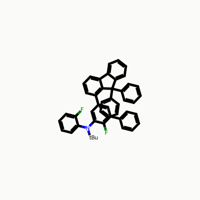 CC(C)(C)N(c1ccccc1F)c1cc(-c2cccc3c2C(c2ccccc2)(c2ccccc2)c2ccccc2-3)cc(-c2ccccc2)c1F